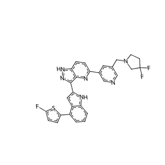 Fc1ccc(-c2cccc3[nH]c(-c4n[nH]c5ccc(-c6cncc(CN7CCC(F)(F)C7)c6)nc45)cc23)s1